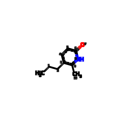 CCCc1ccc(=O)[nH]c1C